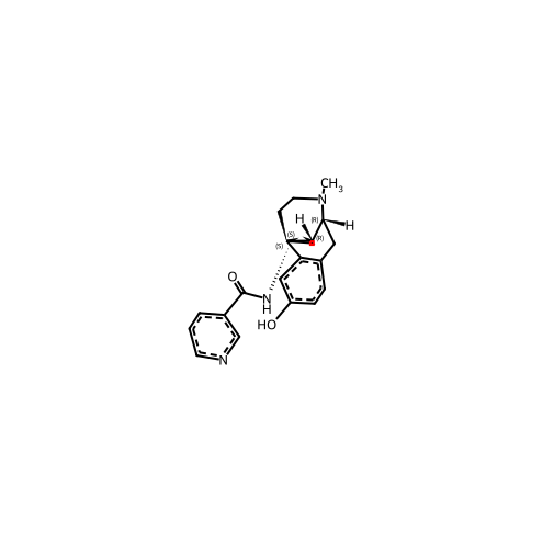 CN1CC[C@]23C[C@@H](NC(=O)c4cccnc4)CC[C@H]2[C@H]1Cc1ccc(O)cc13